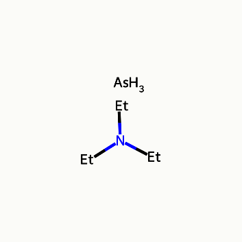 CCN(CC)CC.[AsH3]